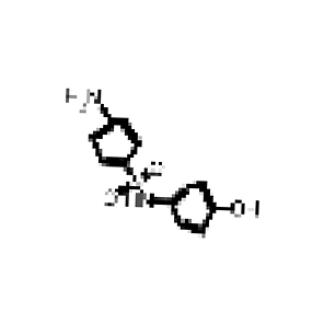 Nc1ccc(S(=O)(=O)Nc2ccc(O)cc2)cc1